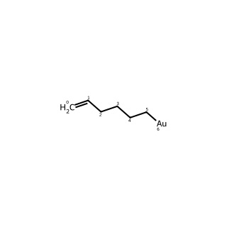 C=CCCC[CH2][Au]